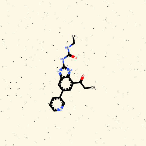 CCNC(=O)Nc1nc2cc(-c3cccnc3)cc(C(=O)CC)c2[nH]1